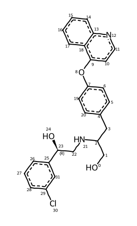 OCC(Cc1ccc(Oc2ccnc3ccccc23)cc1)NC[C@H](O)c1cccc(Cl)c1